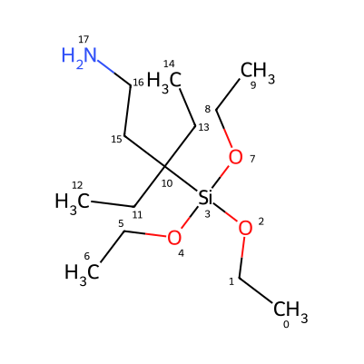 CCO[Si](OCC)(OCC)C(CC)(CC)CCN